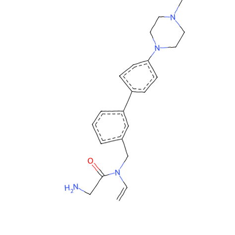 C=CN(Cc1cccc(-c2ccc(N3CCN(C)CC3)cc2)c1)C(=O)CN